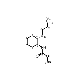 CC(C)(C)OC(=O)N[C@H]1CCCC[C@@H]1SCCC(=O)O